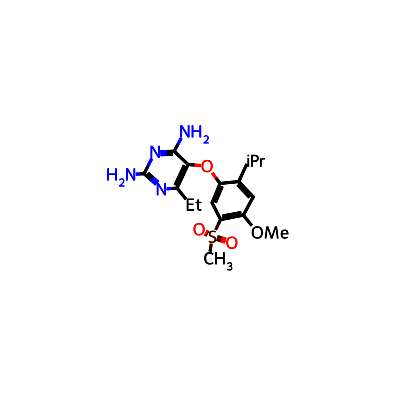 CCc1nc(N)nc(N)c1Oc1cc(S(C)(=O)=O)c(OC)cc1C(C)C